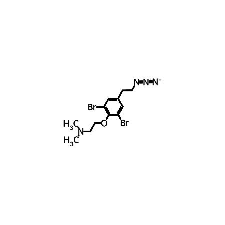 CN(C)CCOc1c(Br)cc(CCN=[N+]=[N-])cc1Br